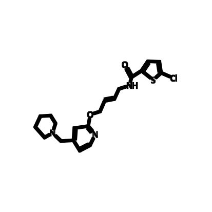 O=C(NCC=CCOc1cc(CN2CCCCC2)ccn1)c1ccc(Cl)s1